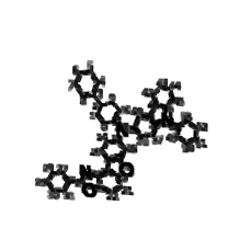 C1=CC(c2ccccc2)CC=C1N(c1ccc2c(c1)oc1ccc3oc(-c4ccccc4)nc3c12)c1ccc2c(c1)c1ccccc1n2-c1ccccc1